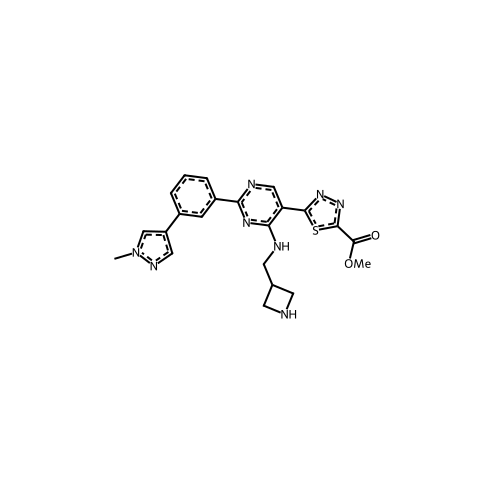 COC(=O)c1nnc(-c2cnc(-c3cccc(-c4cnn(C)c4)c3)nc2NCC2CNC2)s1